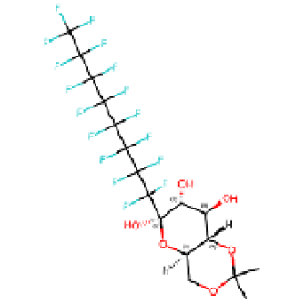 CC1(C)OC[C@H]2O[C@@](O)(C(F)(F)C(F)(F)C(F)(F)C(F)(F)C(F)(F)C(F)(F)C(F)(F)C(F)(F)F)[C@H](O)[C@@H](O)[C@@H]2O1